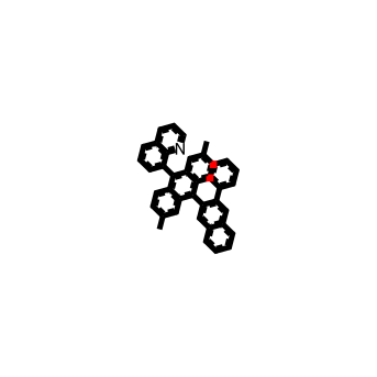 Cc1ccc2c(-c3cccc4cccnc34)c3cc(C)ccc3c(-c3cc4ccccc4cc3-c3ccccc3)c2c1